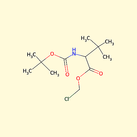 CC(C)(C)OC(=O)NC(C(=O)OCCl)C(C)(C)C